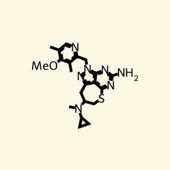 COc1c(C)cnc(Cn2nc3c4c(nc(N)nc42)SCC(N(C)C2CC2)C3)c1C